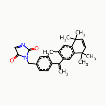 C=C(c1ccc(CN2C(=O)C=NC2=O)cc1)c1cc2c(cc1C)C(C)(C)C=CC2(C)C